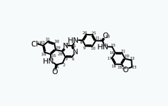 O=C1Cc2cnc(Nc3ccc(C(=O)NCc4ccc5c(c4)CCO5)cc3)nc2-c2ccc(Cl)cc2N1